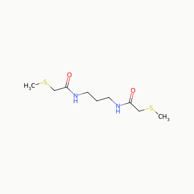 CSCC(=O)NCCCNC(=O)CSC